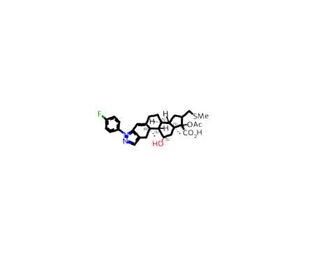 CSCC1C[C@H]2[C@@H]3CCC4=Cc5c(cnn5-c5ccc(F)cc5)C[C@]4(C)[C@H]3[C@@H](O)C[C@]2(C)[C@@]1(OC(C)=O)C(=O)O